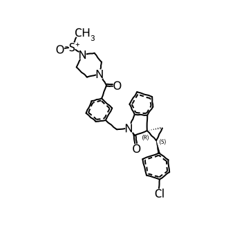 C[S+]([O-])N1CCN(C(=O)c2cccc(CN3C(=O)[C@@]4(C[C@H]4c4ccc(Cl)cc4)c4ccccc43)c2)CC1